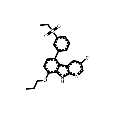 [CH2]CCOc1ccc(-c2cccc(S(=O)(=O)CC)c2)c2c1[nH]c1ncc(Cl)cc12